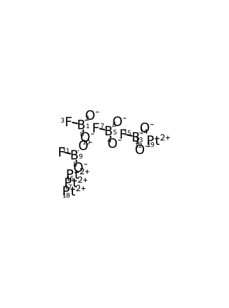 [O-]B([O-])F.[O-]B([O-])F.[O-]B([O-])F.[O-]B([O-])F.[Pt+2].[Pt+2].[Pt+2].[Pt+2]